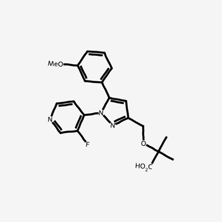 COc1cccc(-c2cc(COC(C)(C)C(=O)O)nn2-c2ccncc2F)c1